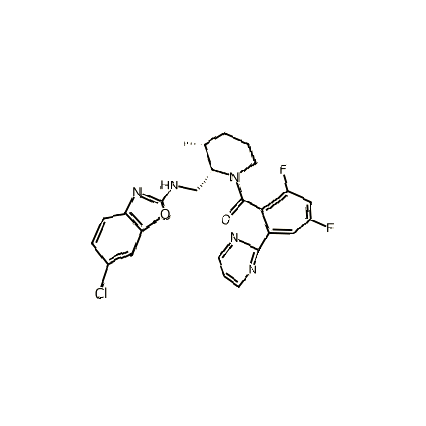 C[C@@H]1CCCN(C(=O)c2c(F)cc(F)cc2-c2ncccn2)[C@@H]1CNc1nc2ccc(Cl)cc2o1